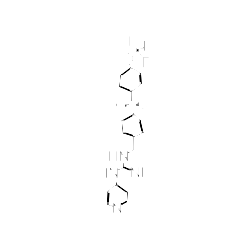 N=C(NCc1ccc(S(=O)(=O)c2ccc(OC(F)(F)F)cc2)cc1)Nc1ccncc1